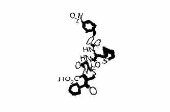 O=C(NC(C(=O)NC1C(=O)N2C(C(=O)O)=C(C(=O)C3CCCCC3)CS[C@H]12)c1cccs1)OCc1ccc([N+](=O)[O-])cc1